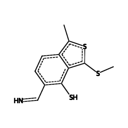 CSc1sc(C)c2ccc(C=N)c(S)c12